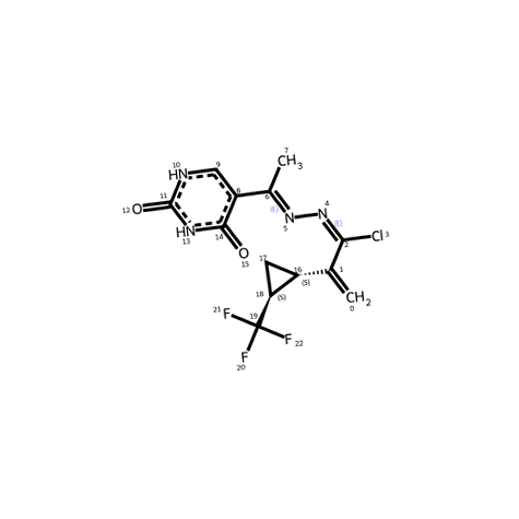 C=C(/C(Cl)=N\N=C(/C)c1c[nH]c(=O)[nH]c1=O)[C@H]1C[C@@H]1C(F)(F)F